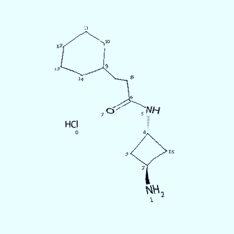 Cl.N[C@H]1C[C@H](NC(=O)CC2CCCCC2)C1